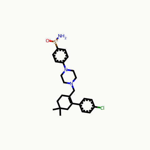 CC1(C)CCC(CN2CCN(c3ccc([S+](N)[O-])cc3)CC2)=C(c2ccc(Cl)cc2)C1